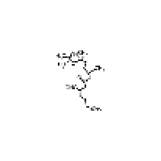 CCCCCCCCCCCCCC(C=O)CC(=O)OC(C)CC[C@@H](C)O[Si](C)(C)C